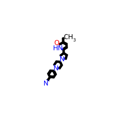 CCc1ccc(C2CCN(C3CCN(c4ccc(C#N)cc4)CC3)C2)[nH]c1=O